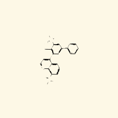 CS(=O)(=O)c1cc(-c2ccccc2)cc(-c2ccnc3c(S(C)(=O)=O)cccc23)c1Cl